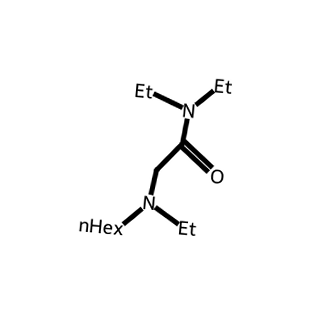 CCCCCCN(CC)CC(=O)N(CC)CC